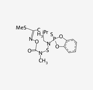 CSC(C)=NOC(=O)N(C)SN(CC(C)C)P1(=S)Oc2ccccc2O1